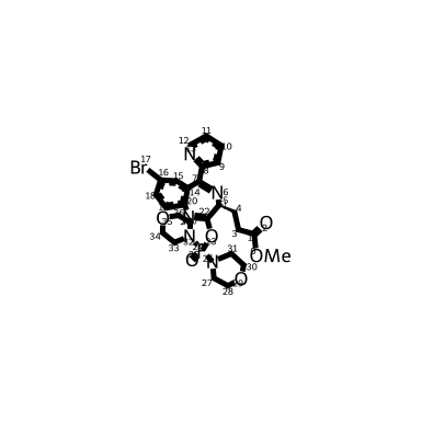 COC(=O)CC[C@@H]1N=C(c2ccccn2)c2cc(Br)ccc2N=C1OP(=O)(N1CCOCC1)N1CCOCC1